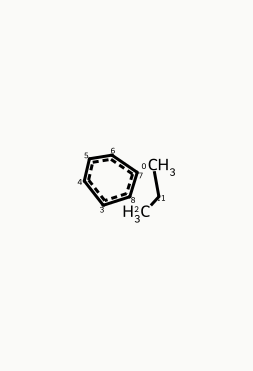 C[CH]C.c1ccccc1